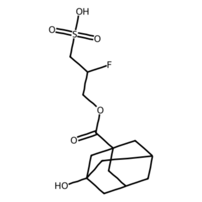 O=C(OCC(F)CS(=O)(=O)O)C12CC3CC(CC(O)(C3)C1)C2